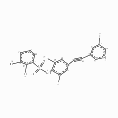 O=S(=O)(Nc1c(F)cc(C#Cc2cncc(F)c2)cc1F)c1cccc(Cl)c1Cl